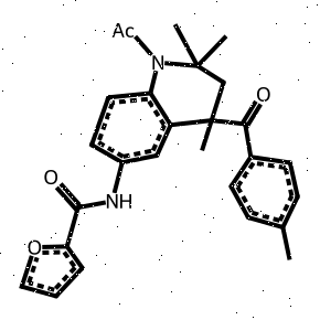 CC(=O)N1c2ccc(NC(=O)c3ccco3)cc2C(C)(C(=O)c2ccc(C)cc2)CC1(C)C